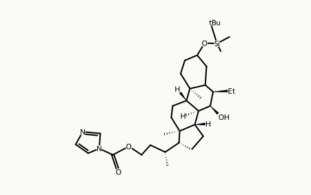 CC[C@@H]1C2CC(O[Si](C)(C)C(C)(C)C)CC[C@]2(C)[C@H]2CC[C@]3(C)[C@@H]([C@H](C)CCOC(=O)n4ccnc4)CC[C@H]3[C@@H]2[C@@H]1O